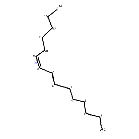 CC(=O)CCCCCCC/C=C\CCCCI